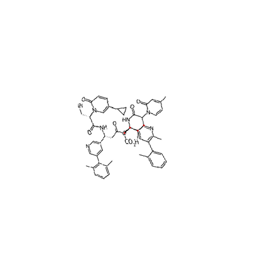 Cc1ccn(C(CC(C)COC(=O)C[C@@H](NC(=O)[C@H](CC(C)C)n2cc(C3CC3)ccc2=O)c2cncc(-c3c(C)cccc3C)c2)C(=O)N[C@H](CC(=O)O)c2cnc(C)c(-c3ccccc3C)c2)c(=O)c1